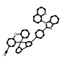 N#Cc1ccc2c(c1)C1(c3ccccc3O2)c2ccccc2-c2ccc(-c3ccc(-c4nc5ccccc5n4-c4cccc5cccnc45)cc3)cc21